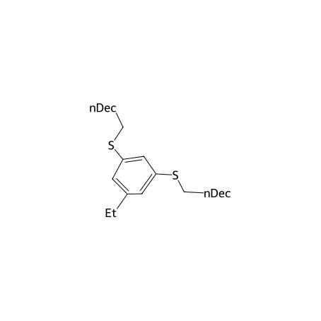 [CH2]Cc1cc(SCCCCCCCCCCC)cc(SCCCCCCCCCCC)c1